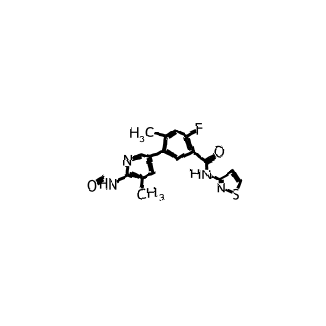 Cc1cc(F)c(C(=O)Nc2ccsn2)cc1-c1cnc(NC=O)c(C)c1